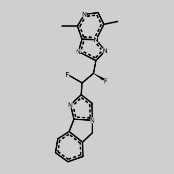 Cc1ncc(C)n2nc([C@@H](F)C(F)c3cn4c(n3)-c3ccccc3C4)nc12